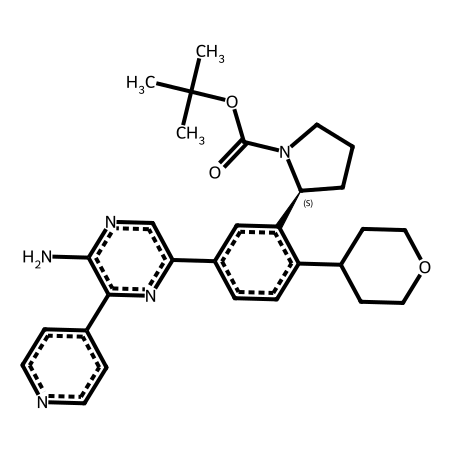 CC(C)(C)OC(=O)N1CCC[C@H]1c1cc(-c2cnc(N)c(-c3ccncc3)n2)ccc1C1CCOCC1